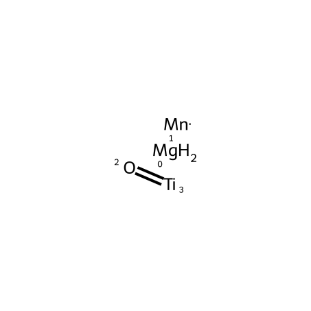 [MgH2].[Mn].[O]=[Ti]